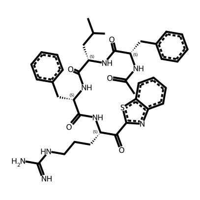 CC(=O)N[C@@H](Cc1ccccc1)C(=O)N[C@@H](CC(C)C)C(=O)N[C@@H](Cc1ccccc1)C(=O)N[C@@H](CCCNC(=N)N)C(=O)c1nc2ccccc2s1